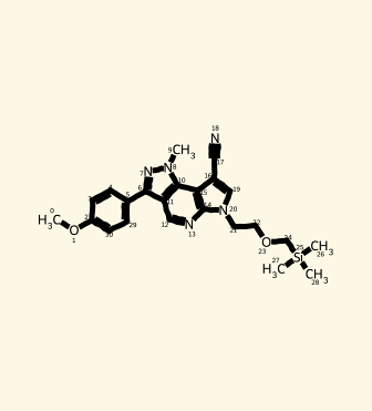 COc1ccc(-c2nn(C)c3c2cnc2c3c(C#N)cn2CCOC[Si](C)(C)C)cc1